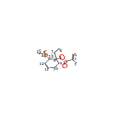 C=C(C)C(=O)OC1(CC)CCCCC1SC